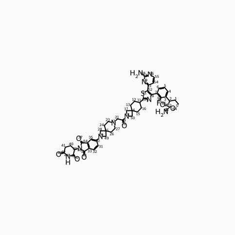 CCC(c1cccc(-c2nc(C3CCC4(CC3)CN(C(=O)CN3CCC5(CC3)CN(c3ccc6c(c3)C(=O)N(C3CCC(=O)NC3=O)C6=O)C5)C4)sc2-c2ccnc(N)n2)c1F)S(N)(=O)=O